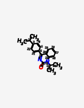 CC(C)c1ccc(-c2nc(=O)n(C(C)C)c3ccccc23)cc1